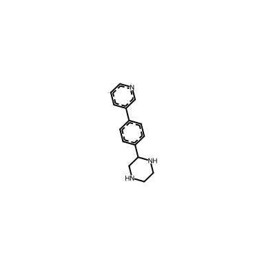 [c]1cncc(-c2ccc(C3CNCCN3)cc2)c1